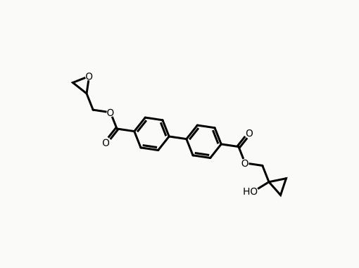 O=C(OCC1CO1)c1ccc(-c2ccc(C(=O)OCC3(O)CC3)cc2)cc1